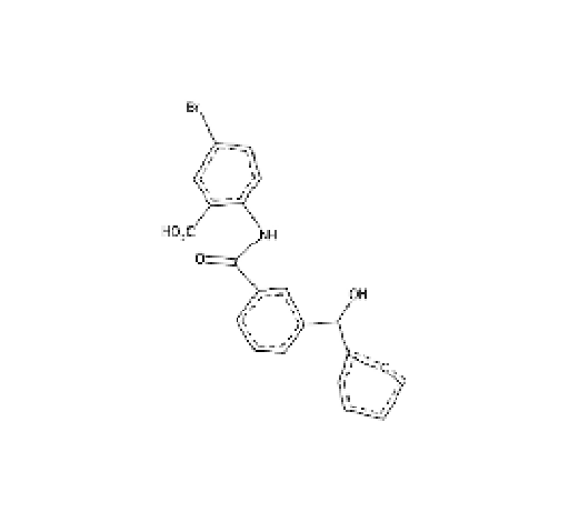 O=C(Nc1ccc(Br)cc1C(=O)O)c1cccc(C(O)c2ccccc2)c1